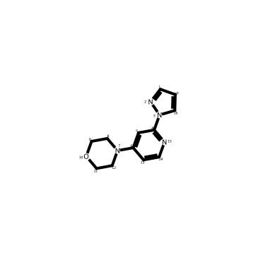 [c]1cnn(-c2cc(N3CCOCC3)ccn2)c1